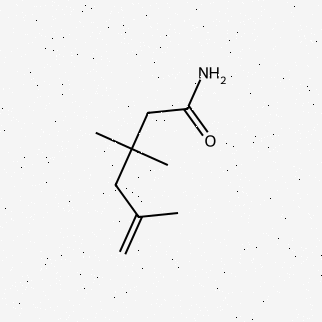 C=C(C)CC(C)(C)CC(N)=O